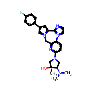 CN(C)[C@@H]1CN(c2ccc3c(n2)Cn2cc(-c4ccc(F)cc4)cc2-c2nccn2-3)C[C@@]1(C)O